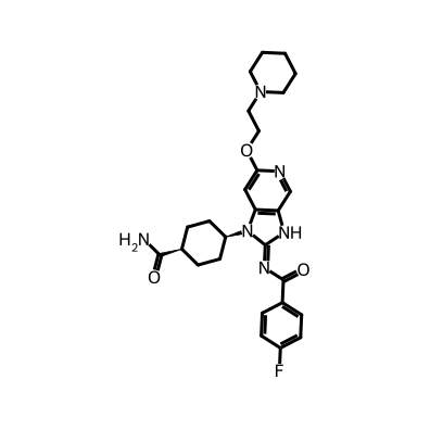 NC(=O)[C@H]1CC[C@@H](n2/c(=N/C(=O)c3ccc(F)cc3)[nH]c3cnc(OCCN4CCCCC4)cc32)CC1